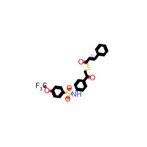 O=C(/C=C/c1ccccc1)SCC(=O)c1ccc(NS(=O)(=O)c2ccc(OC(F)(F)F)cc2)cc1